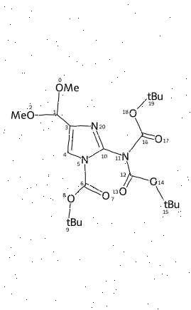 COC(OC)c1cn(C(=O)OC(C)(C)C)c(N(C(=O)OC(C)(C)C)C(=O)OC(C)(C)C)n1